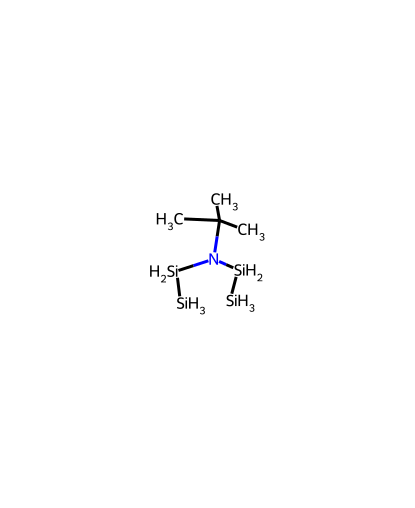 CC(C)(C)N([SiH2][SiH3])[SiH2][SiH3]